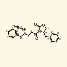 [N-]=[N+]=NC(CCC(=O)N1C(=O)OCC1Cc1ccccc1)Cc1ccccc1